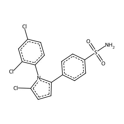 NS(=O)(=O)c1ccc(-c2ccc(Cl)n2-c2ccc(Cl)cc2Cl)cc1